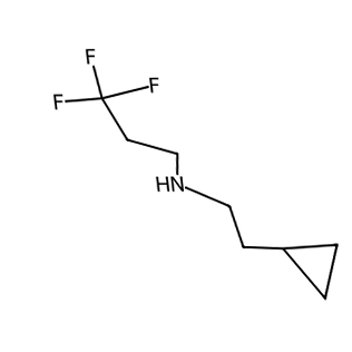 FC(F)(F)CCNCCC1CC1